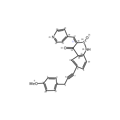 COc1ccc(CC#Cc2ccc3c(c2)C(=O)/C(=C\c2ccncc2)[S+]([O-])N3)cc1